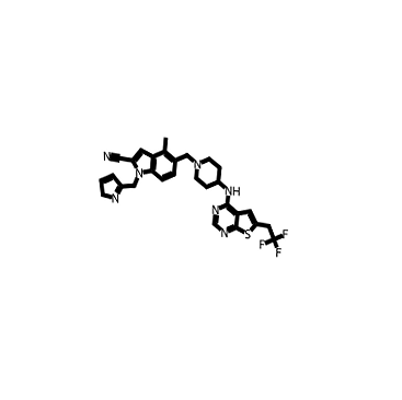 Cc1c(CN2CCC(Nc3ncnc4sc(CC(F)(F)F)cc34)CC2)ccc2c1cc(C#N)n2CC1=NCC=C1